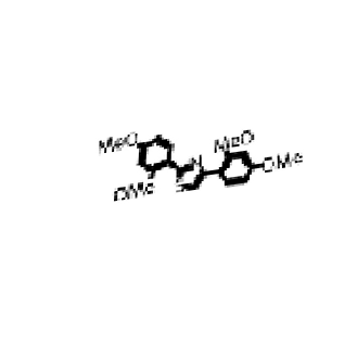 COc1ccc(-c2csc(-c3ccc(OC)cc3OC)n2)c(OC)c1